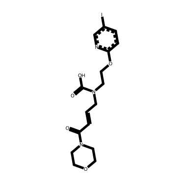 O=C(O)N(C/C=C/C(=O)N1CCOCC1)CCOc1ccc(I)cn1